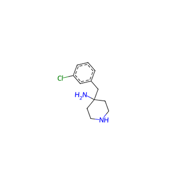 NC1(Cc2cccc(Cl)c2)CCNCC1